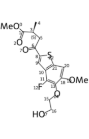 COC(=O)[C@@H](C)CC(=O)c1cc2c(F)c(OCCO)c(OC)cc2s1